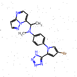 CC(c1ccnc2ccnn12)N(C)c1ccc(-n2cc(Br)cc2-c2nnn[nH]2)cc1